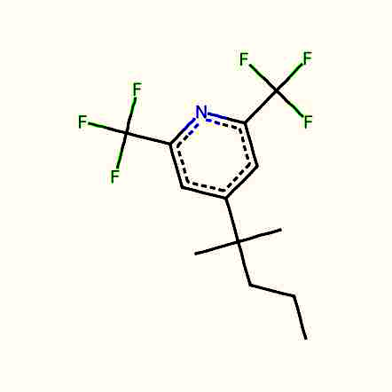 CCCC(C)(C)c1cc(C(F)(F)F)nc(C(F)(F)F)c1